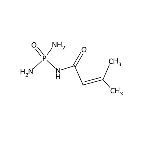 CC(C)=CC(=O)NP(N)(N)=O